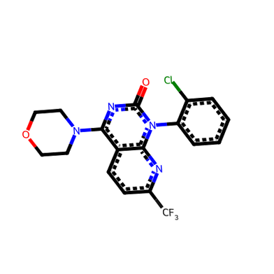 O=c1nc(N2CCOCC2)c2ccc(C(F)(F)F)nc2n1-c1ccccc1Cl